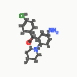 CC1CCN(c2ccc(N)cc2C(=O)c2ccc(Cl)cc2)CC1